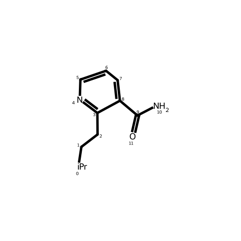 CC(C)CCc1ncccc1C(N)=O